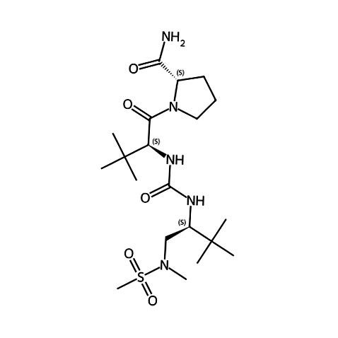 CN(C[C@@H](NC(=O)N[C@H](C(=O)N1CCC[C@H]1C(N)=O)C(C)(C)C)C(C)(C)C)S(C)(=O)=O